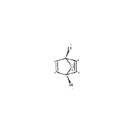 C1=C[C@H]2C=C[C@@H]1O2